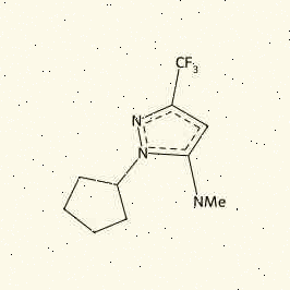 CNc1cc(C(F)(F)F)nn1C1CCCC1